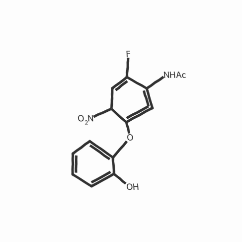 CC(=O)NC1=C=C(Oc2ccccc2O)C([N+](=O)[O-])C=C1F